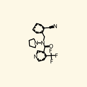 N#Cc1ccccc1CN(C(=O)c1cnccc1C(F)(F)F)N1CCCC1